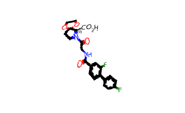 O=C(NCC(=O)N1CCC2(OCCO2)[C@H]1C(=O)O)c1ccc(-c2ccc(F)cc2)c(F)c1